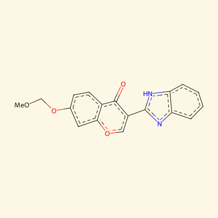 COCOc1ccc2c(=O)c(-c3nc4ccccc4[nH]3)coc2c1